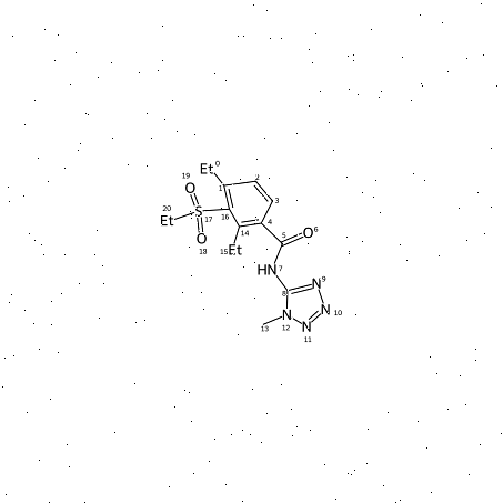 CCc1ccc(C(=O)Nc2nnnn2C)c(CC)c1S(=O)(=O)CC